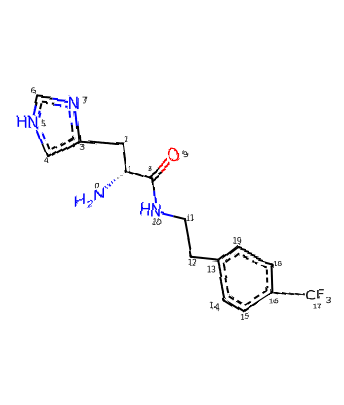 N[C@H](Cc1c[nH]cn1)C(=O)NCCc1ccc(C(F)(F)F)cc1